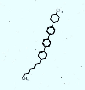 CCCCCCCC1CC=C(c2ccc(-c3ccc([C@H]4CC[C@H](C)CC4)cc3)cc2)CC1